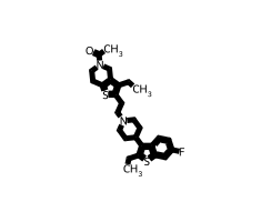 CCc1sc2cc(F)ccc2c1C1CCN(CCc2sc3c(c2CC)CN(C(C)=O)CC3)CC1